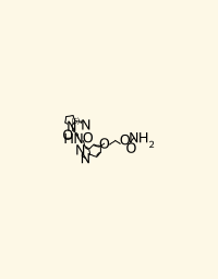 N#C[C@@H]1CCCN1C(=O)CNC(=O)c1ncnc2ccc(OCCCOC(N)=O)cc12